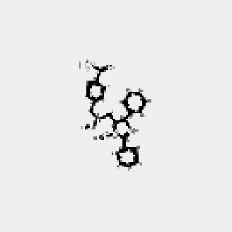 CCCCN(Cc1ccc(C(N)=O)cc1)CC1C(c2ccccc2)N=C(c2ccccc2)N1CCCC